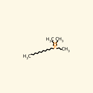 CCCCCCCCCCCCC[PH](CCCC)(CCCC)CCCC